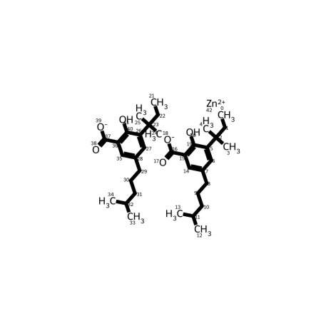 CCC(C)(C)c1cc(CCCC(C)C)cc(C(=O)[O-])c1O.CCC(C)(C)c1cc(CCCC(C)C)cc(C(=O)[O-])c1O.[Zn+2]